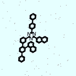 c1ccc(-c2ccc(-c3nc(-c4cccc(-c5ccc(-c6ccccc6)cc5-c5cccc6ccccc56)c4)nc(-c4ccc5ccccc5c4)n3)cc2)cc1